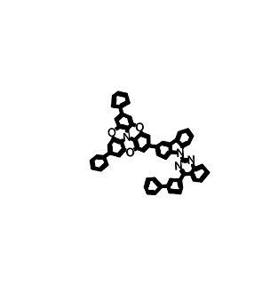 c1ccc(-c2cccc(-c3nc(-n4c5ccccc5c5cc(-c6cc7c8c(c6)Oc6cc(-c9ccccc9)cc9c6N8c6c(cc(-c8ccccc8)cc6O7)O9)ccc54)nc4ccccc34)c2)cc1